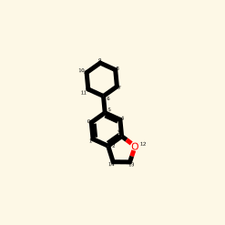 c1cc2c(cc1C1CCCCC1)OCC2